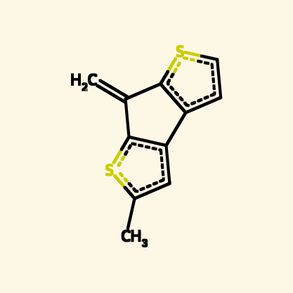 C=C1c2sccc2-c2cc(C)sc21